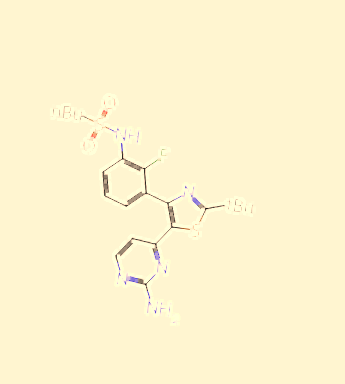 CCCCS(=O)(=O)Nc1cccc(-c2nc(C(C)(C)C)sc2-c2ccnc(N)n2)c1F